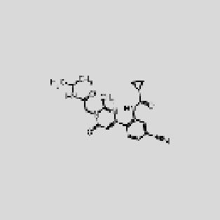 Cc1nc(-c2ccc(C#N)cc2NC(=O)C2CC2)cc(=O)n1CC(=O)NC(C)C